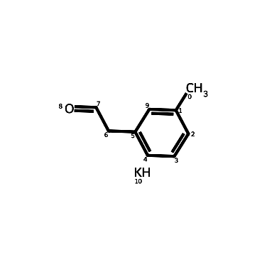 Cc1cccc(CC=O)c1.[KH]